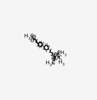 CCO[Si](CCCC[C@H]1CC[C@H](c2ccc(C=CC(=O)OC)cc2)CC1)(OCC)OCC